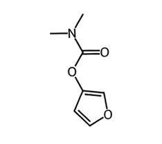 CN(C)C(=O)Oc1ccoc1